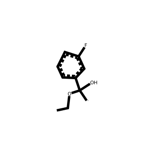 [CH2]C(O)(OCC)c1cccc(F)c1